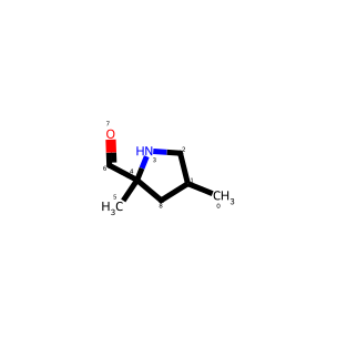 CC1CNC(C)(C=O)C1